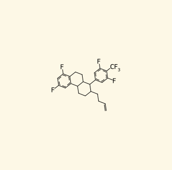 C=CCCC1CCC2c3cc(F)cc(F)c3CCC2C1c1cc(F)c(C(F)(F)F)c(F)c1